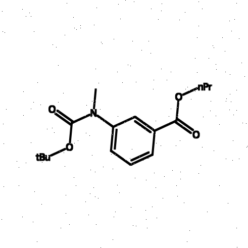 CCCOC(=O)c1cccc(N(C)C(=O)OC(C)(C)C)c1